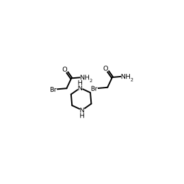 C1CNCCN1.NC(=O)CBr.NC(=O)CBr